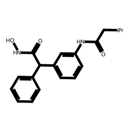 CC(C)CC(=O)Nc1cccc(C(C(=O)NO)c2ccccc2)c1